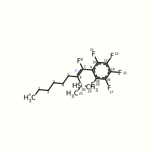 CCCCCC/C(=C(\F)c1c(F)c(F)c(F)c(F)c1F)[SiH](C)C